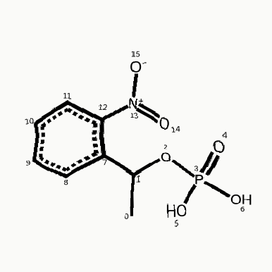 CC(OP(=O)(O)O)c1ccccc1[N+](=O)[O-]